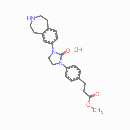 COC(=O)CCc1ccc(N2CCN(c3ccc4c(c3)CCNCC4)C2=O)cc1.Cl